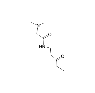 CCC(=O)CCNC(=O)CN(C)C